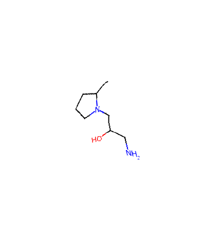 CC1CCCN1CC(O)CN